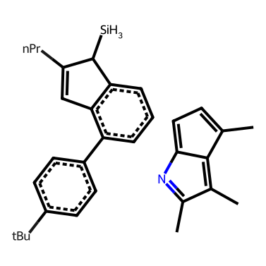 CC1=CC=C2N=C(C)C(C)=C12.CCCC1=Cc2c(-c3ccc(C(C)(C)C)cc3)cccc2C1[SiH3]